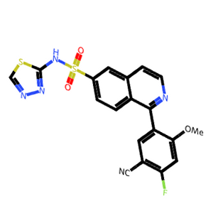 COc1cc(F)c(C#N)cc1-c1nccc2cc(S(=O)(=O)Nc3nncs3)ccc12